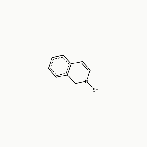 SN1C=Cc2ccccc2C1